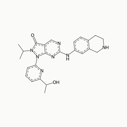 CC(O)c1cccc(-n2c3nc(Nc4ccc5c(c4)CNCC5)ncc3c(=O)n2C(C)C)n1